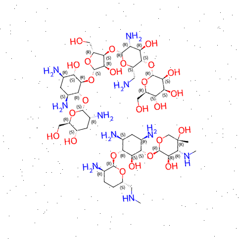 CNC[C@@H]1CC[C@@H](N)[C@@H](O[C@H]2[C@H](O)[C@@H](O[C@H]3OC[C@](C)(O)[C@H](NC)[C@H]3O)[C@H](N)C[C@@H]2N)O1.NC[C@@H]1O[C@H](O[C@H]2[C@@H](O)[C@H](O[C@@H]3[C@@H](O)[C@H](N)C[C@H](N)[C@H]3O[C@H]3O[C@H](CO)[C@@H](O)C[C@H]3N)O[C@@H]2CO)[C@H](N)[C@@H](O)[C@@H]1O[C@H]1O[C@H](CO)[C@@H](O)[C@H](O)[C@@H]1O